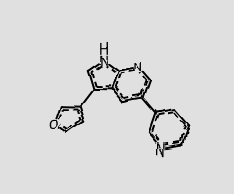 c1cncc(-c2cnc3[nH]cc(-c4ccoc4)c3c2)c1